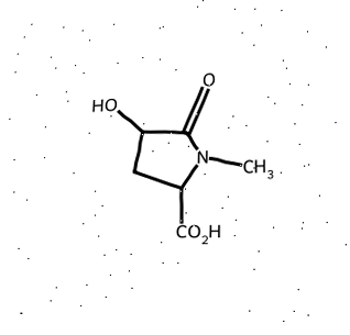 CN1C(=O)C(O)CC1C(=O)O